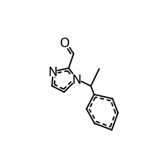 CC(c1ccccc1)n1ccnc1C=O